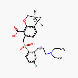 CCN(CC)C/C=C\c1cc(F)ccc1S(=O)(=O)Cc1ccc2c(c1C(=O)O)OC[C@H]1C[C@@H]21